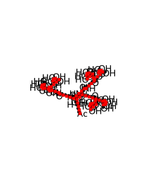 CC(=O)CCCCCNC(=O)CN(CC(=O)NCCCCCC(=O)NCCO[C@H]1O[C@H](CO[C@H]2O[C@H](CO)[C@@H](O)[C@H](O)[C@@H]2O)[C@@H](O)[C@H](O[C@H]2O[C@H](CO)[C@@H](O)[C@H](O)[C@@H]2O)[C@@H]1O)CC(=O)N[C@@H](CCC(=O)NCCCCCC(=O)N(CCO[C@H]1O[C@H](CO)[C@@H](O)[C@H](O)[C@@H]1O)CCO[C@H]1O[C@H](CO)[C@@H](O)[C@H](O)[C@@H]1O)C(=O)NCCCCCC(=O)N(CCO[C@H]1O[C@H](CO)[C@@H](O)[C@H](O)[C@@H]1O)CCO[C@H]1O[C@H](CO)[C@@H](O)[C@H](O)[C@@H]1O